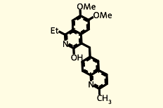 CCc1nc(O)c(Cc2ccc3nc(C)ccc3c2)c2cc(OC)c(OC)cc12